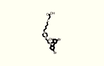 O=C(O)CCCCCCCCN1CCN(C[C@@H](O)Cn2c3ccc(Br)cc3c3cc(Br)ccc32)CC1